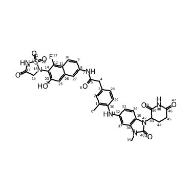 Cc1cc(CC(=O)Nc2ccc3c(F)c(N4CC(=O)NS4(=O)=O)c(O)cc3c2)ccc1Nc1ccc2c(c1)n(C)c(=O)n2C1CCC(=O)NC1=O